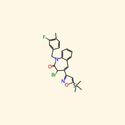 Cc1ccc(CN2C(=O)C(Br)C(c3cc([Si](C)(C)C)on3)=Cc3ccccc32)cc1F